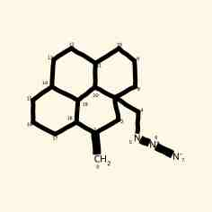 C=C1CC2(CN=[N+]=[N-])CCCC3CCC4CCCC1C4C32